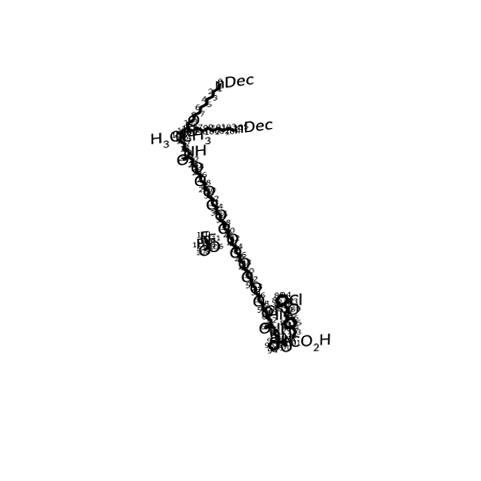 CCCCCCCCCCCCCCCCCCOCC(C[N+](C)(C)CCCNC(=O)CCOCCOCCOCCOCCOCCOCCOCCOCCOCCOCCOCCOCCOCCC(=O)NCCC1(C(=O)N[C@@H](Cc2ccc(NC(=O)c3c(Cl)cccc3Cl)cc2)C(=O)O)CCCC1)OCCCCCCCCCCCCCCCCCC.O=C([O-])C(F)(F)F